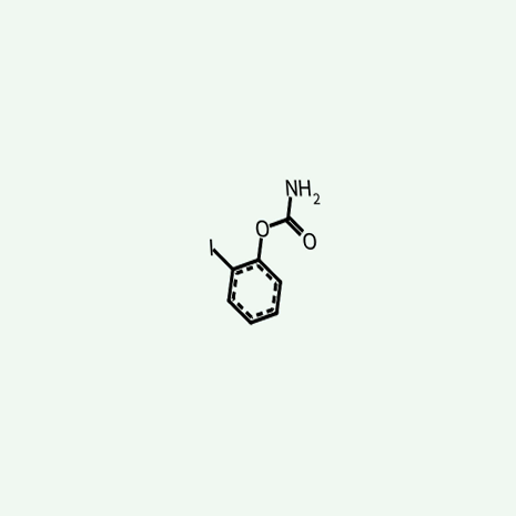 NC(=O)Oc1ccccc1I